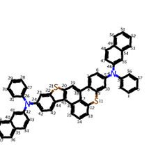 c1ccc(N(c2ccc3c(c2)Sc2cccc4c2c-3cc2sc3cc(N(c5ccccc5)c5ccc6ccccc6c5)ccc3c24)c2ccc3ccccc3c2)cc1